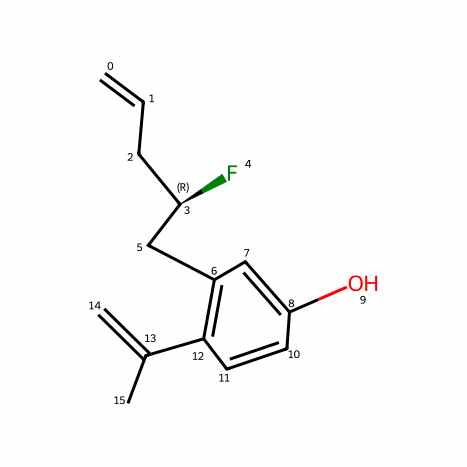 C=CC[C@@H](F)Cc1cc(O)ccc1C(=C)C